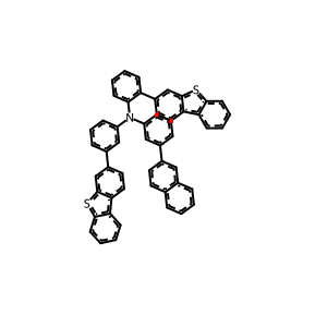 c1cc(-c2ccc3ccccc3c2)cc(N(c2cccc(-c3ccc4c(c3)sc3ccccc34)c2)c2ccccc2-c2ccc3c(c2)sc2ccccc23)c1